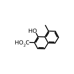 Cc1cccc2ccc(C(=O)O)c(O)c12